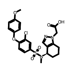 COc1ccc(Oc2ccc(S(=O)(=O)N(C)[C@@H]3CCCc4c3cnn4CC(=O)O)cc2Cl)cc1